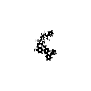 CC(C)(CC(=O)N[C@@H]1CCc2c(F)cccc2N(Cc2ccc(-c3ccccc3-c3nnn[nH]3)cc2)C1=O)NCc1ccco1